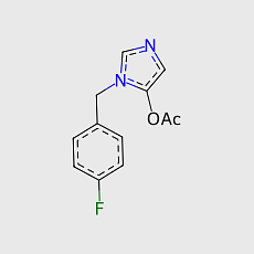 CC(=O)Oc1cncn1Cc1ccc(F)cc1